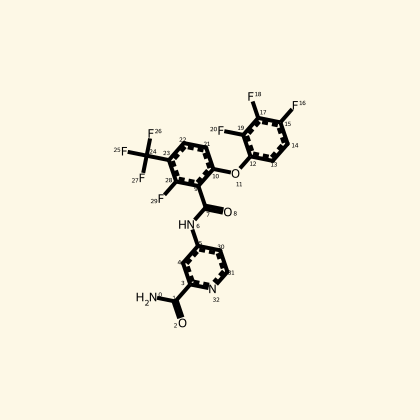 NC(=O)c1cc(NC(=O)c2c(Oc3ccc(F)c(F)c3F)ccc(C(F)(F)F)c2F)ccn1